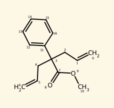 C=CCC(CC=C)(C(=O)OC)c1ccccc1